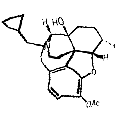 CC(=O)Oc1ccc2c3c1O[C@H]1[C@@H](I)CC[C@@]4(O)[C@@H](C2)N(CC2CC2)CC[C@]314